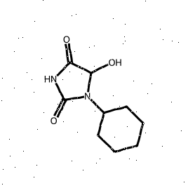 O=C1NC(=O)N(C2CCCCC2)C1O